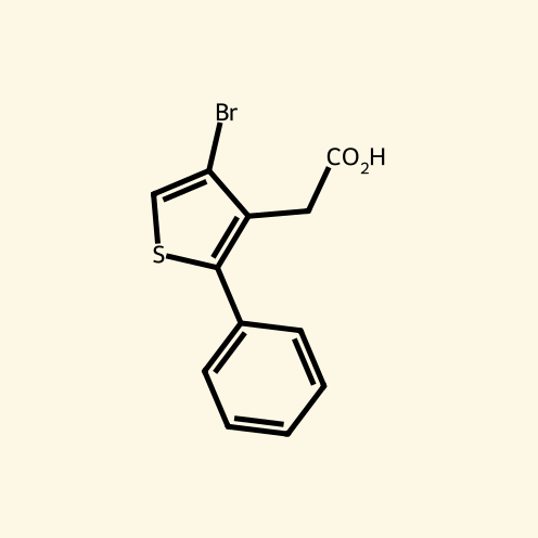 O=C(O)Cc1c(Br)csc1-c1ccccc1